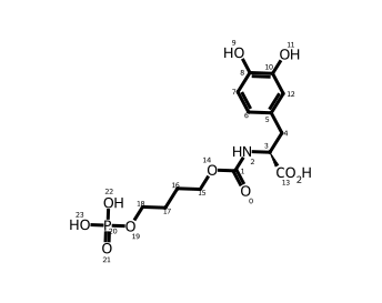 O=C(N[C@@H](Cc1ccc(O)c(O)c1)C(=O)O)OCCCCOP(=O)(O)O